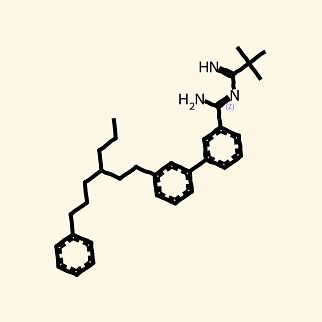 CCCC(CCCc1ccccc1)CCc1cccc(-c2cccc(/C(N)=N/C(=N)C(C)(C)C)c2)c1